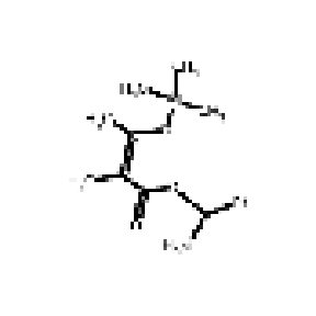 CCC([SiH3])OC(=O)C(C)=C(C)O[Si](C)(C)C